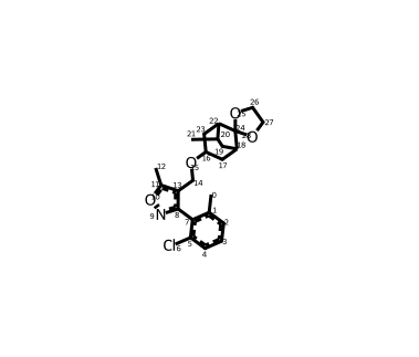 Cc1cccc(Cl)c1-c1noc(C)c1COC1CC2CC(C)C(C1)C21OCCO1